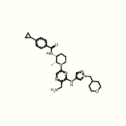 C[C@@H]1[C@H](NC(=O)c2ccc(C3CC3)cc2)CCCN1c1cnc(CN)c(Nc2cnn(CC3CCOCC3)c2)n1